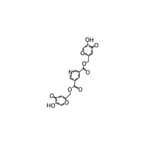 O=C(OCc1cc(=O)c(O)co1)c1cncc(C(=O)OCc2cc(=O)c(O)co2)c1